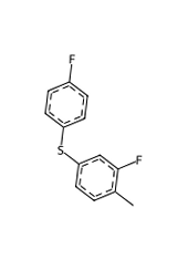 Cc1ccc(Sc2ccc(F)cc2)cc1F